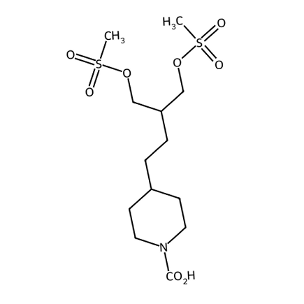 CS(=O)(=O)OCC(CCC1CCN(C(=O)O)CC1)COS(C)(=O)=O